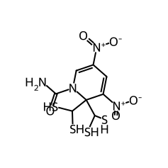 NC(=O)N1C=C([N+](=O)[O-])C=C([N+](=O)[O-])C1(C(S)S)C(S)S